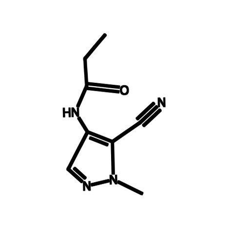 CCC(=O)Nc1cnn(C)c1C#N